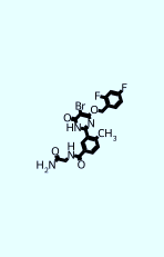 Cc1ccc(C(=O)NCC(N)=O)cc1-c1nc(OCc2ccc(F)cc2F)c(Br)c(=O)[nH]1